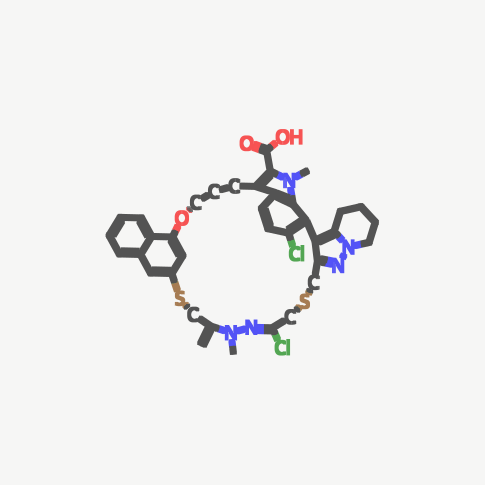 C=C1CSc2cc(c3ccccc3c2)OCCCc2c(C(=O)O)n(C)c3c(c(Cl)ccc23)-c2c(nn3c2CCCC3)CSC/C(Cl)=N/N1C